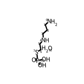 NCCCNCCSP(=O)(O)O.O